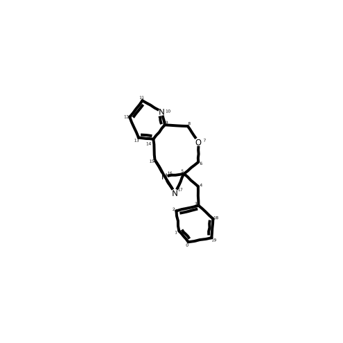 c1ccc(CC23COCc4ncccc4C4N2N43)cc1